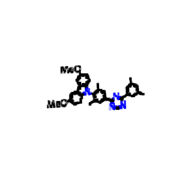 COc1ccc2c(c1)c1cc(OC)ccc1n2-c1c(C)cc(-c2ncnc(-c3cc(C)cc(C)c3)n2)cc1C